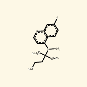 CCCCCC(CCO)(C(=O)O)N(N)c1ccnc2cc(F)ccc12